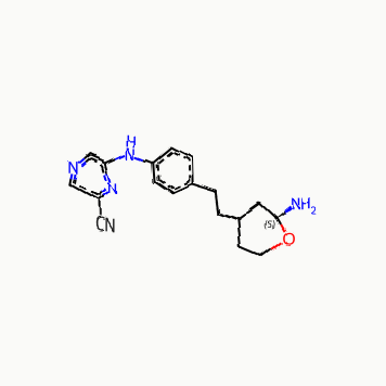 N#Cc1cncc(Nc2ccc(CCC3CCO[C@H](N)C3)cc2)n1